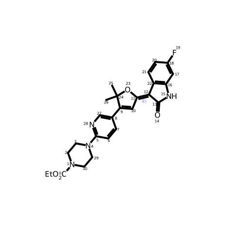 CCOC(=O)N1CCN(c2ccc(C3=C/C(=C4\C(=O)Nc5cc(F)ccc54)OC3(C)C)cn2)CC1